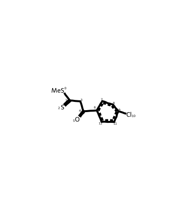 CSC(=S)CC(=O)c1ccc(Cl)cc1